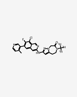 [2H]C([2H])([2H])N1CCc2cc(Nc3cc4cc(-c5cnccc5C)c(F)c(Cl)c4cn3)nn2CC1=O